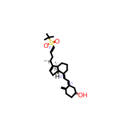 C=C1CC[C@H](O)C/C1=C/C=C1\CCC[C@]2(C)C([C@H](C)C/C=C/S(=O)(=O)C(C)(C)C)=CC[C@@H]12